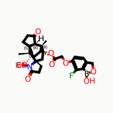 CCN1C(=O)CC[C@@]12C[C@@H](OC(=O)COc1ccc3c(c1F)B(O)OC3)[C@]1(C)[C@H](C)CC[C@]3(CCC(=O)[C@H]31)[C@@H](C)[C@@H]2O